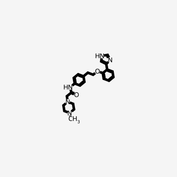 CN1CCN(CC(=O)Nc2ccc(CCOc3ccccc3-c3c[nH]cn3)cc2)CC1